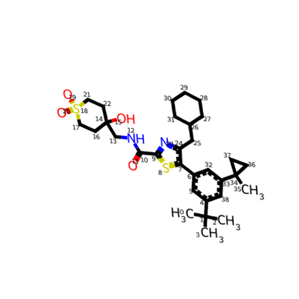 CC(C)(C)c1cc(-c2sc(C(=O)NCC3(O)CCS(=O)(=O)CC3)nc2CC2CCCCC2)cc(C2(C)CC2)c1